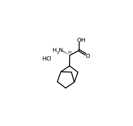 Cl.N[C@H](C(=O)O)C1CC2CCC1C2